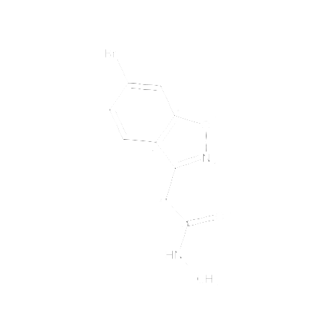 CNC(=O)Cc1noc2cc(Br)ccc12